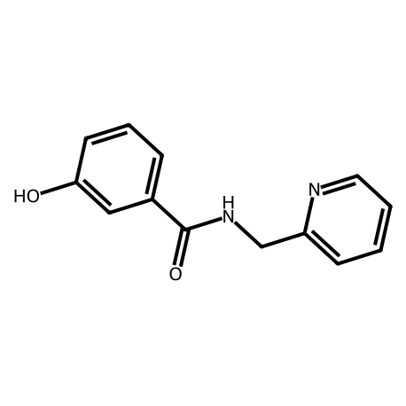 O=C(NCc1ccccn1)c1cccc(O)c1